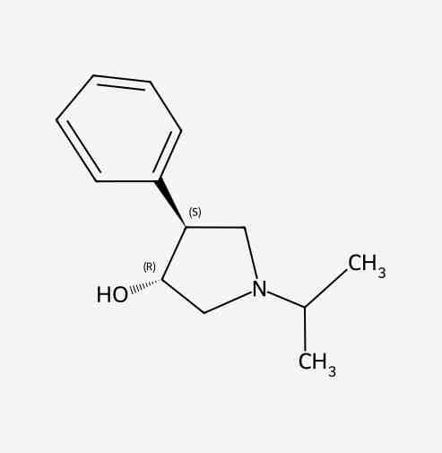 CC(C)N1C[C@H](c2ccccc2)[C@@H](O)C1